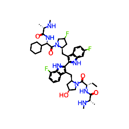 CC[C@H](NC(=O)[C@H](C)NC)C(=O)N1C[C@@H](O)C[C@H]1Cc1c(-c2[nH]c3cc(F)ccc3c2C[C@@H]2C[C@H](F)CN2C(=O)[C@@H](NC(=O)[C@H](C)NC)C2CCCCC2)[nH]c2c(F)cccc12